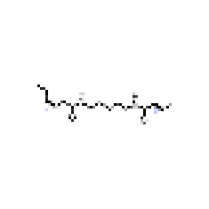 C/C=C/C(=O)NCCSCCNC(=O)C/C=C\CC